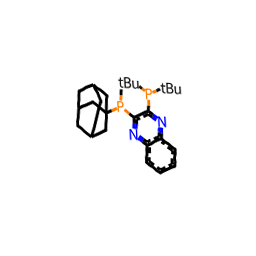 CP(c1nc2ccccc2nc1P(C(C)(C)C)C(C)(C)C)C12CC3CC(CC(C3)C1)C2